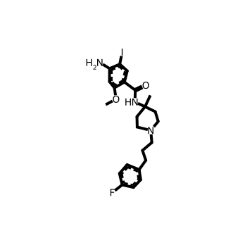 COc1cc(N)c(I)cc1C(=O)NC1(C)CCN(CCCc2ccc(F)cc2)CC1